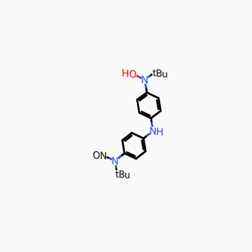 CC(C)(C)N(O)c1ccc(Nc2ccc(N(N=O)C(C)(C)C)cc2)cc1